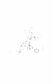 CCC[C@H](NC(=O)[C@@H]1C[C@]2(CC(c3cccc(Cl)c3)=NO2)CN1C(=O)[C@@H](NC(=O)NCC(N)=O)C(C)(C)C)C(=O)C(=O)NC1CC1